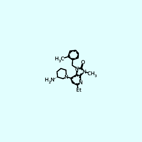 CCc1cc(N2CCC[C@@H](N)C2)c2c(n1)n(C)c(=O)n2Cc1ccccc1C